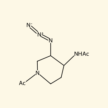 CC(=O)NC1CCN(C(C)=O)CC1N=[N+]=[N-]